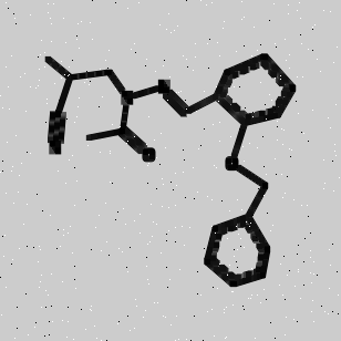 CC(=O)N(CC(C)C#N)N=Cc1ccccc1OCc1ccccc1